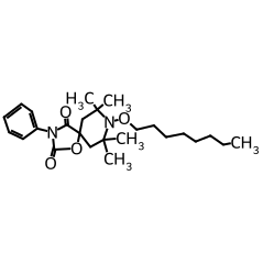 CCCCCCCCON1C(C)(C)CC2(CC1(C)C)OC(=O)N(c1ccccc1)C2=O